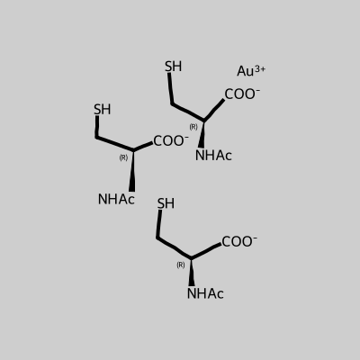 CC(=O)N[C@@H](CS)C(=O)[O-].CC(=O)N[C@@H](CS)C(=O)[O-].CC(=O)N[C@@H](CS)C(=O)[O-].[Au+3]